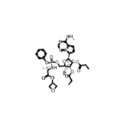 CCC(=O)O[C@H]1[C@H](c2ccc3c(N)ncnn23)O[C@](C#N)(CO[P@](=O)(N[C@@H](C)C(=O)OC2COC2)Oc2ccccc2)[C@H]1OC(=O)CC